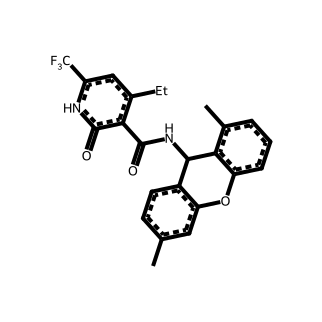 CCc1cc(C(F)(F)F)[nH]c(=O)c1C(=O)NC1c2ccc(C)cc2Oc2cccc(C)c21